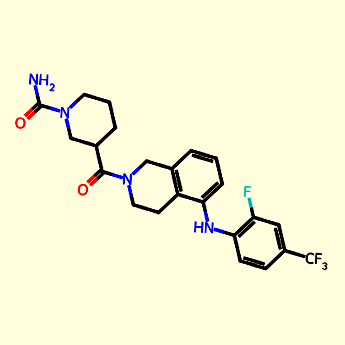 NC(=O)N1CCCC(C(=O)N2CCc3c(cccc3Nc3ccc(C(F)(F)F)cc3F)C2)C1